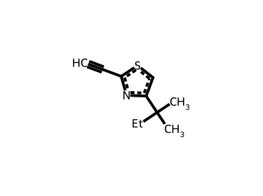 C#Cc1nc(C(C)(C)CC)cs1